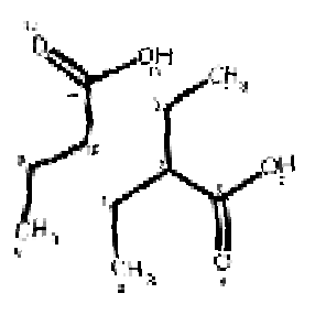 CCC(CC)C(=O)O.CCCC(=O)O